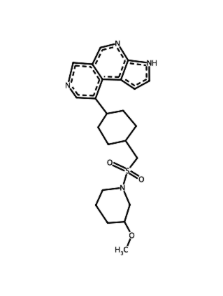 COC1CCCN(S(=O)(=O)CC2CCC(c3cncc4cnc5[nH]ccc5c34)CC2)C1